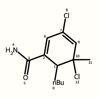 CCCCC1C(C(N)=O)=CC(Cl)=CC1(C)Cl